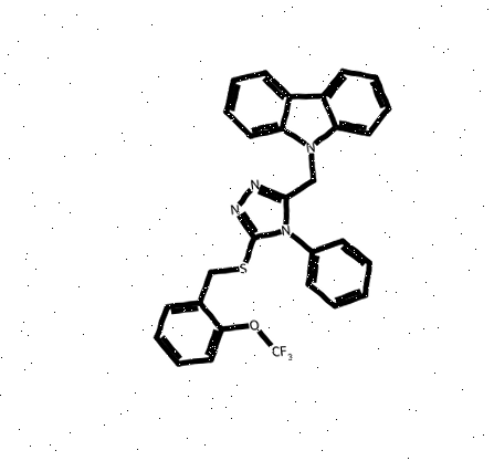 FC(F)(F)Oc1ccccc1CSc1nnc(Cn2c3ccccc3c3ccccc32)n1-c1ccccc1